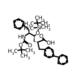 CC(C)(C)OC(=O)N[C@@H](Cc1ccccc1)[C@H](C[C@@H](Cc1ccc(-c2ccccc2)cc1)C(=O)O)O[Si](C)(C)C(C)(C)C